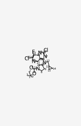 CC(C)(C)OC(=O)N1CC[C@@H](N(CC2CC2)c2nc(Cl)nc3c(F)c(Cl)ncc23)C1